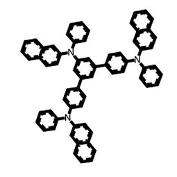 c1ccc(N(c2ccc(-c3cc(-c4ccc(N(c5ccccc5)c5ccc6ccccc6c5)cc4)cc(N(c4ccccc4)c4ccc5ccccc5c4)c3)cc2)c2ccc3ccccc3c2)cc1